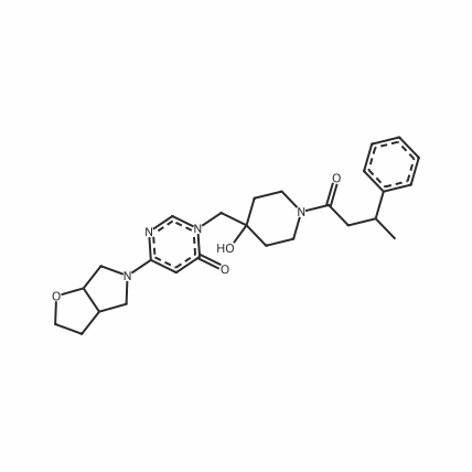 CC(CC(=O)N1CCC(O)(Cn2cnc(N3CC4CCOC4C3)cc2=O)CC1)c1ccccc1